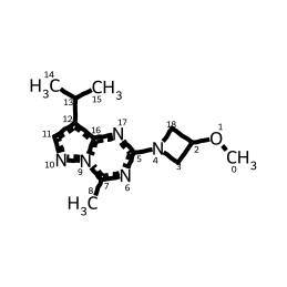 COC1CN(c2nc(C)n3ncc(C(C)C)c3n2)C1